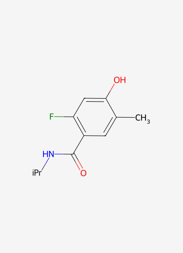 Cc1cc(C(=O)NC(C)C)c(F)cc1O